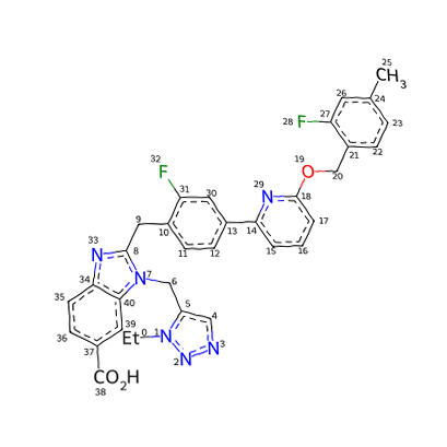 CCn1nncc1Cn1c(Cc2ccc(-c3cccc(OCc4ccc(C)cc4F)n3)cc2F)nc2ccc(C(=O)O)cc21